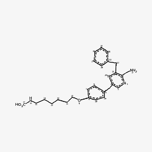 Nc1ncc(-c2ccc(OCCCCCCNC(=O)O)cc2)nc1Cc1ccccc1